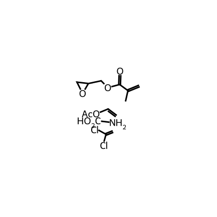 C=C(C)C(=O)OCC1CO1.C=C(Cl)Cl.C=COC(C)=O.NC(=O)O